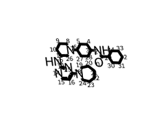 O=C(NC1CCC(N2CCCC(Nc3nccc(N4CCCCCC4)n3)C2)CC1)C1CCCCC1